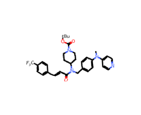 CN(c1ccncc1)c1ccc(CN(C(=O)C=Cc2ccc(C(F)(F)F)cc2)C2CCN(C(=O)OC(C)(C)C)CC2)cc1